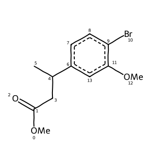 COC(=O)CC(C)c1ccc(Br)c(OC)c1